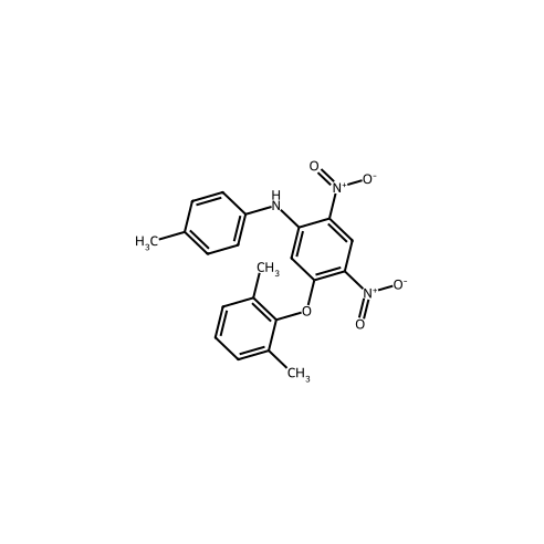 Cc1ccc(Nc2cc(Oc3c(C)cccc3C)c([N+](=O)[O-])cc2[N+](=O)[O-])cc1